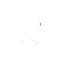 COc1cc(OC(O)CCN2CCC(O)(c3cncc4ccccc34)CC2)c2cc[nH]c2c1Cl